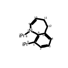 CC(C)c1cccc2c1N(C(C)C)C=CCC2